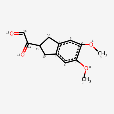 COc1cc2c(cc1OC)CC(C(=O)C=O)C2